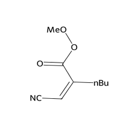 CCCC/C(=C/C#N)C(=O)OOC